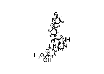 C[C@@H](O)[C@@H]1CCC[C@@H](Nc2ncnc3[nH]cc(C(=O)c4ccc(Oc5cccc(Cl)n5)cc4)c23)CO1